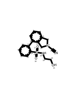 N#CN1Cc2cccc(-c3ccccc3S(=O)(=O)NCCO)c2C1